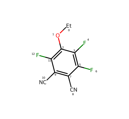 CCOc1c(F)c(F)c(C#N)c(C#N)c1F